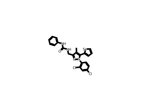 Cc1c(CNC(=O)Nc2ccccc2)nn(-c2ccc(Cl)cc2Cl)c1-c1ccc[se]1